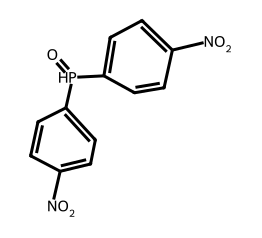 O=[N+]([O-])c1ccc([PH](=O)c2ccc([N+](=O)[O-])cc2)cc1